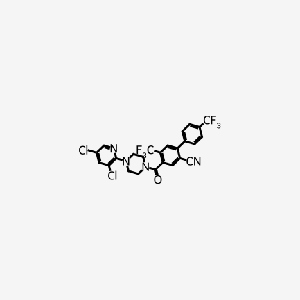 N#Cc1cc(C(=O)N2CCN(c3ncc(Cl)cc3Cl)CC2)c(C(F)(F)F)cc1-c1ccc(C(F)(F)F)cc1